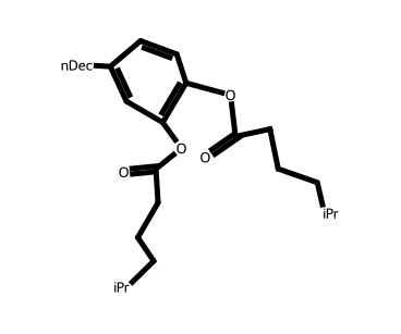 CCCCCCCCCCc1ccc(OC(=O)CCCC(C)C)c(OC(=O)CCCC(C)C)c1